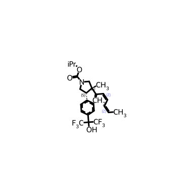 C=C(/C=C\C=C/C)[C@@]1(C)CN(C(=O)OC(C)C)C[C@H]1c1ccc(C(O)(C(F)(F)F)C(F)(F)F)cc1